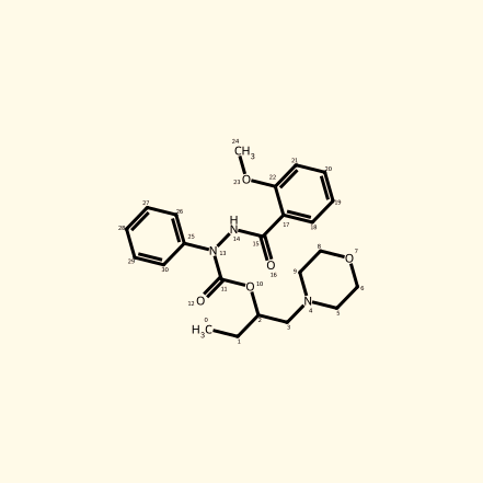 CCC(CN1CCOCC1)OC(=O)N(NC(=O)c1ccccc1OC)c1ccccc1